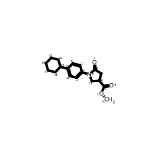 COC(=O)C1CC(=O)N(c2ccc(C3CCCCC3)cc2)C1